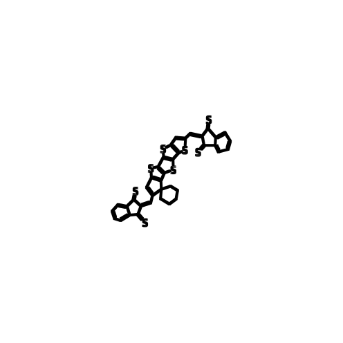 S=C1C(=CC2=Cc3sc4c(sc5c6sc(C=C7C(=S)c8ccccc8C7=S)cc6sc45)c3C23CCCCC3)C(=S)c2ccccc21